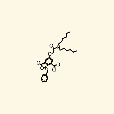 CCCCCCN(CCCCCC)C(=O)COc1cc(C(=O)Cl)c2c(c1)c(=O)on2Cc1ccccc1